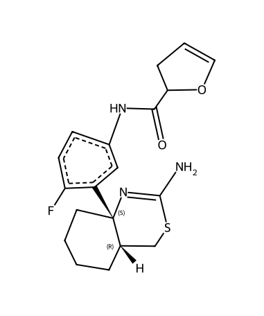 NC1=N[C@@]2(c3cc(NC(=O)C4CC=CO4)ccc3F)CCCC[C@H]2CS1